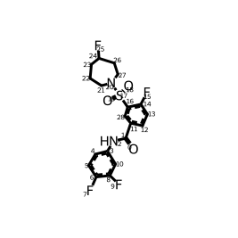 O=C(Nc1ccc(F)c(F)c1)c1ccc(F)c(S(=O)(=O)N2CCCC(F)CC2)c1